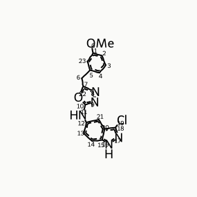 COc1cccc(Cc2nnc(Nc3ccc4[nH]nc(Cl)c4c3)o2)c1